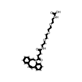 O=C(O)NCCOCCOCCOCCNC(=O)CCC(=O)N1Cc2ccccc2C#Cc2ccccc21